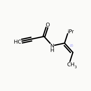 C#CC(=O)N/C(=C\C)C(C)C